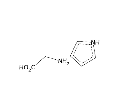 NCC(=O)O.c1cc[nH]c1